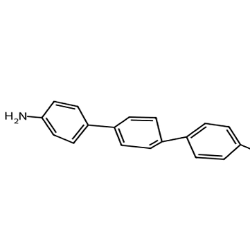 Cc1ccc(-c2ccc(-c3ccc(N)cc3)cc2)cc1